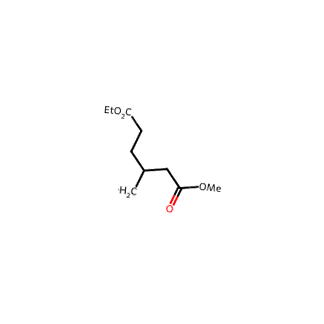 [CH2]C(CCC(=O)OCC)CC(=O)OC